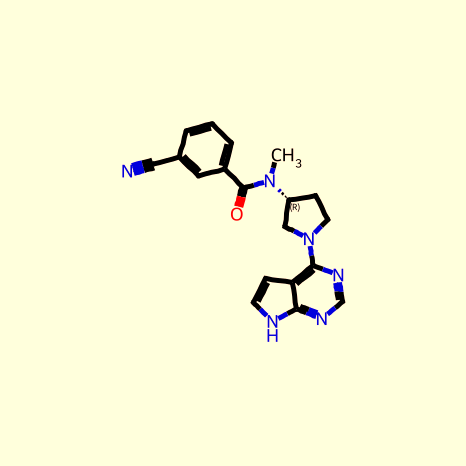 CN(C(=O)c1cccc(C#N)c1)[C@@H]1CCN(c2ncnc3[nH]ccc23)C1